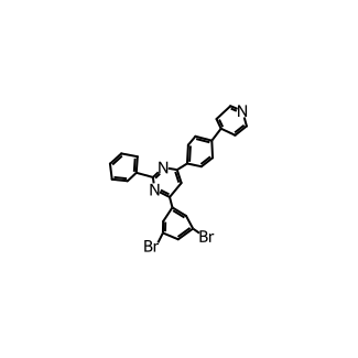 Brc1cc(Br)cc(-c2cc(-c3ccc(-c4ccncc4)cc3)nc(-c3ccccc3)n2)c1